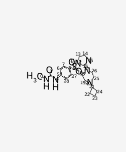 CNC(=O)Nc1ccc(S(=O)(=O)N2CCN=C2N2CCN(C3CCC3)CC2)cc1